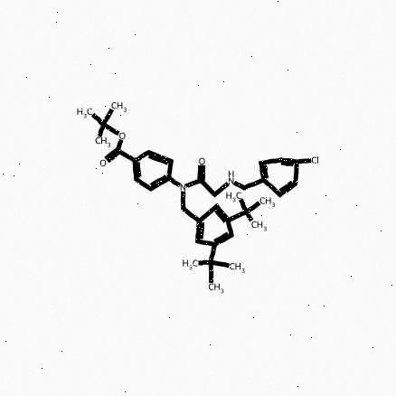 CC(C)(C)OC(=O)c1ccc(N(Cc2cc(C(C)(C)C)cc(C(C)(C)C)c2)C(=O)CNCc2ccc(Cl)cc2)cc1